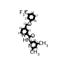 Cc1cc(C)nc(NC(=O)c2cc(COc3cccc(C(F)(F)F)c3)ccn2)c1